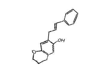 Oc1cc2c(cc1C/C=C/c1ccccc1)OCCC2